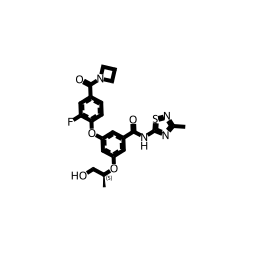 Cc1nsc(NC(=O)c2cc(Oc3ccc(C(=O)N4CCC4)cc3F)cc(O[C@@H](C)CO)c2)n1